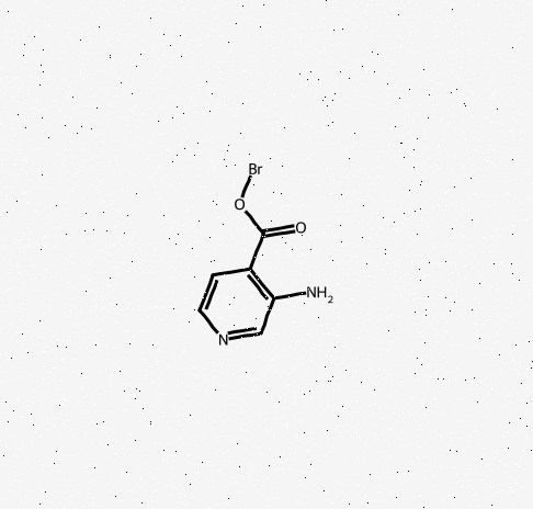 Nc1cnccc1C(=O)OBr